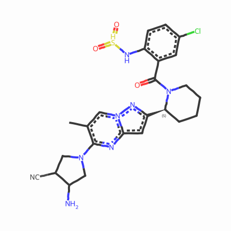 Cc1cn2nc([C@@H]3CCCCN3C(=O)c3cc(Cl)ccc3N[SH](=O)=O)cc2nc1N1CC(N)C(C#N)C1